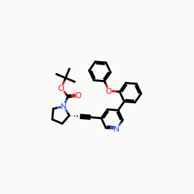 CC(C)(C)OC(=O)N1CCC[C@H]1C#Cc1cncc(-c2ccccc2Oc2ccccc2)c1